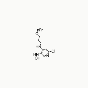 CCCOCCCNc1cc(Cl)ncc1NO